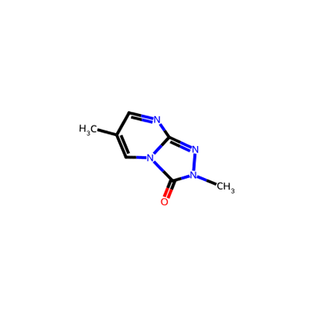 Cc1cnc2nn(C)c(=O)n2c1